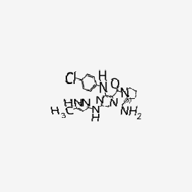 Cc1cc(Nc2cnc(C(=O)N3CCC[C@H]3CN)c(Nc3ccc(Cl)cc3)n2)n[nH]1